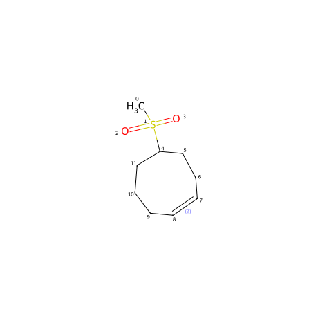 CS(=O)(=O)C1CC/C=C\CCC1